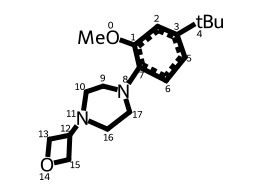 COc1cc(C(C)(C)C)ccc1N1CCN(C2COC2)CC1